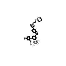 CS(=O)(=O)Nc1cc(-c2ccc(F)cc2F)cc(-n2cnc3cc(-c4cnn(CCOC5CCCCO5)c4)ccc32)c1